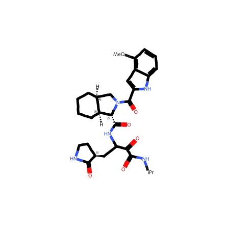 COc1cccc2[nH]c(C(=O)N3C[C@@H]4CCCC[C@@H]4[C@H]3C(=O)NC(C[C@@H]3CCNC3=O)C(=O)C(=O)NC(C)C)cc12